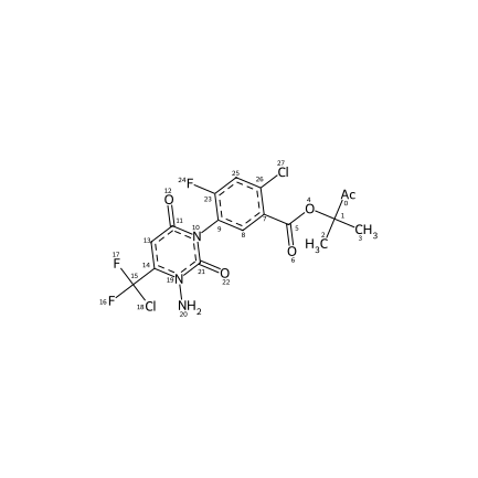 CC(=O)C(C)(C)OC(=O)c1cc(-n2c(=O)cc(C(F)(F)Cl)n(N)c2=O)c(F)cc1Cl